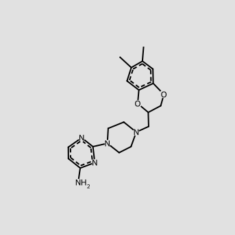 Cc1cc2c(cc1C)OC(CN1CCN(c3nccc(N)n3)CC1)CO2